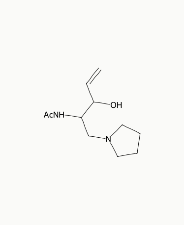 C=CC(O)C(CN1CCCC1)NC(C)=O